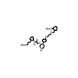 COCCCc1ccccc1NC(=O)CO[C@H]1CNCC[C@@H]1c1ccc(OCCCOCc2ccccc2OC)cc1